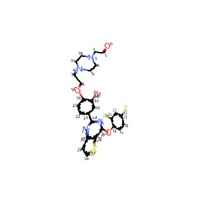 O=CCN1CCN(CCOc2ccc(-c3nc(Oc4ccc(F)cc4F)c4sccc4n3)cc2Br)CC1